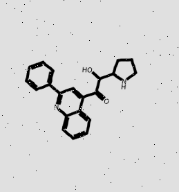 O=C(c1cc(-c2ccccc2)nc2ccccc12)C(O)C1CCCN1